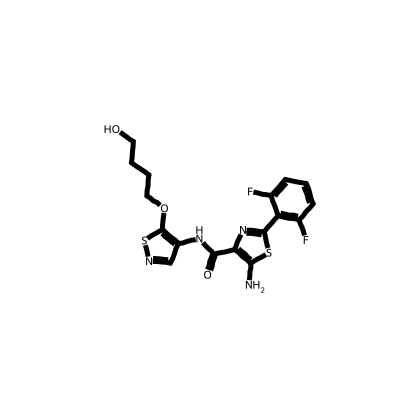 Nc1sc(-c2c(F)cccc2F)nc1C(=O)Nc1cnsc1OCCCCO